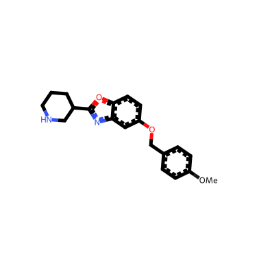 COc1ccc(COc2ccc3oc(C4CCCNC4)nc3c2)cc1